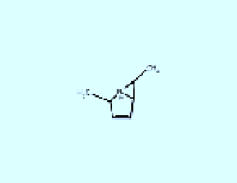 CC1C=CC2C(C)[N@]12